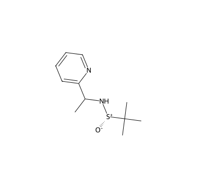 CC(N[S@@+]([O-])C(C)(C)C)c1ccccn1